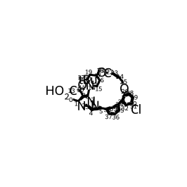 Cc1nc2cc3nn2c(c1[C@H](OC(C)(C)C)C(=O)O)N1CCC(C)(CC1)OCC=CCOc1ccc(Cl)cc1-c1cccc-3c1